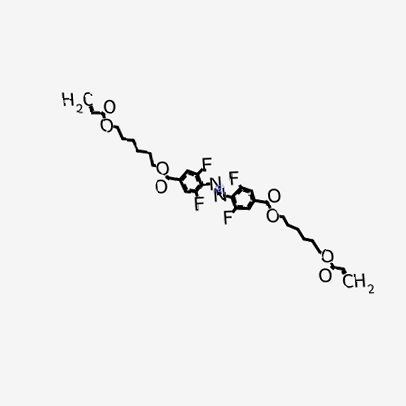 C=CC(=O)OCCCCCCOC(=O)c1cc(F)c(/N=N/c2c(F)cc(C(=O)OCCCCCCOC(=O)C=C)cc2F)c(F)c1